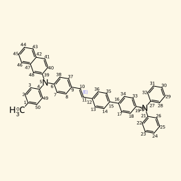 Cc1ccc(N(c2ccc(/C=C/c3ccc(-c4ccc(N(c5ccccc5)c5ccccc5)cc4)cc3)cc2)c2ccc3ccccc3c2)cc1